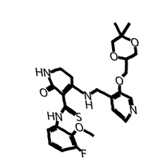 COc1c(F)cccc1NC(=S)C1=C(NCc2ccncc2OCC2COC(C)(C)CO2)CCNC1=O